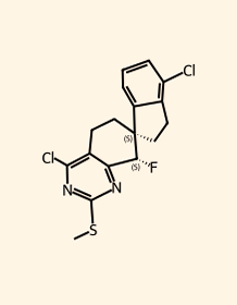 CSc1nc(Cl)c2c(n1)[C@@H](F)[C@@]1(CCc3c(Cl)cccc31)CC2